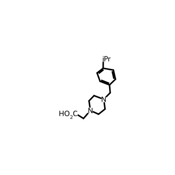 CC(C)c1ccc(CN2CCN(CC(=O)O)CC2)cc1